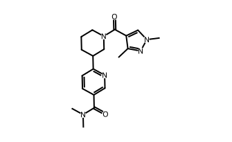 Cc1nn(C)cc1C(=O)N1CCCC(c2ccc(C(=O)N(C)C)cn2)C1